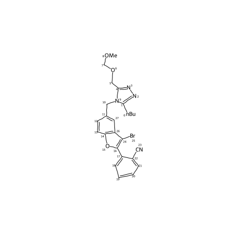 CCCCc1nnc(COCOC)n1Cc1ccc2oc(-c3ccccc3C#N)c(Br)c2c1